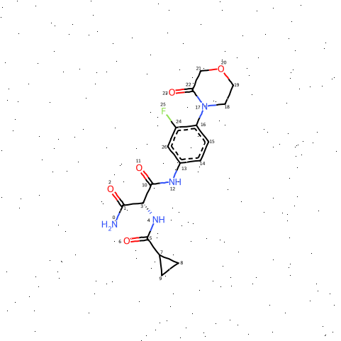 NC(=O)[C@@H](NC(=O)C1CC1)C(=O)Nc1ccc(N2CCOCC2=O)c(F)c1